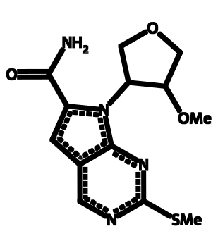 COC1COCC1n1c(C(N)=O)cc2cnc(SC)nc21